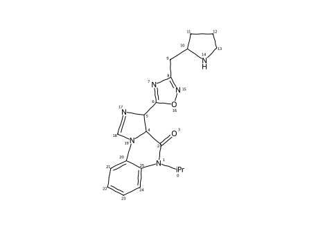 CC(C)N1C(=O)C2C(c3nc(CC4CCCN4)no3)N=CN2c2ccccc21